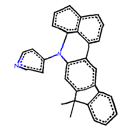 CC1(C)c2ccccc2-c2cc3c(cc21)N(c1ccncc1)c1cccc2cccc-3c12